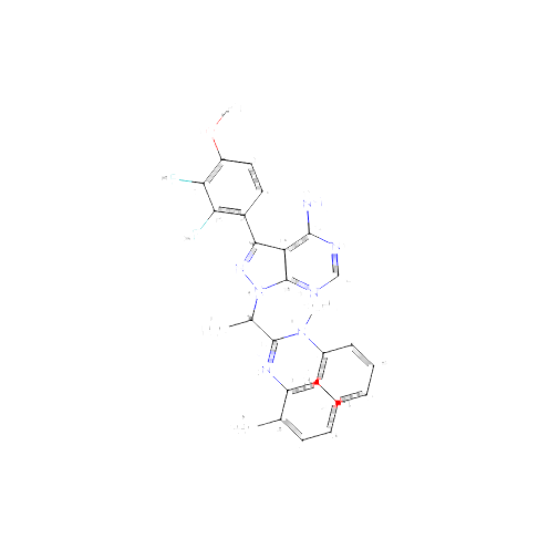 CC(C)Oc1ccc(-c2nn(C(C)/C(=N/c3ccccc3C=O)N(C)c3ccccc3)c3ncnc(N)c23)c(F)c1F